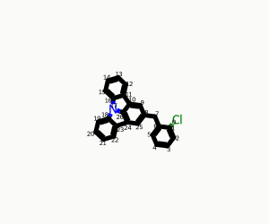 Clc1ccccc1Cc1cc2c3ccccc3n3c4ccccc4c(c1)c23